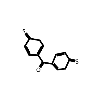 O=C(C1=CCC(=S)C=C1)C1=CCC(=S)C=C1